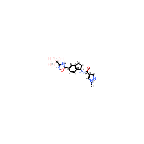 BC(B)(B)c1noc(-c2ccc3c(c2)CC[C@H]3NC(=O)c2cnn(C)c2)n1